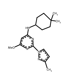 COc1cc(NC2CCC(C)(C)CC2)nc(-n2ccc(C)n2)n1